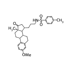 COc1ccc2c(c1)CCC1C2CC[C@]2(C)C(=O)CC(CCCNS(=O)(=O)c3ccc(C)cc3)C12